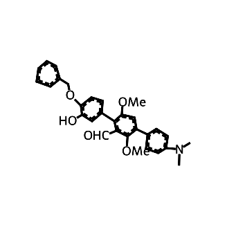 COc1cc(-c2ccc(N(C)C)cc2)c(OC)c(C=O)c1-c1ccc(OCc2ccccc2)c(O)c1